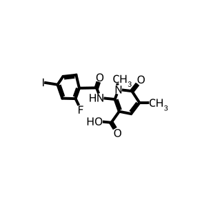 Cc1cc(C(=O)O)c(NC(=O)c2ccc(I)cc2F)n(C)c1=O